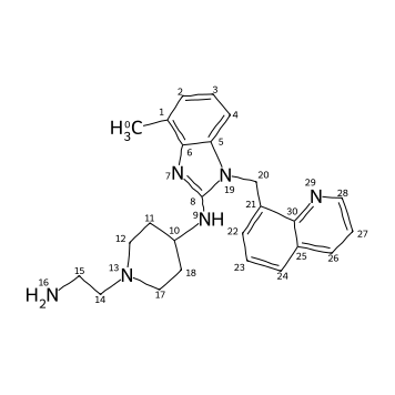 Cc1cccc2c1nc(NC1CCN(CCN)CC1)n2Cc1cccc2cccnc12